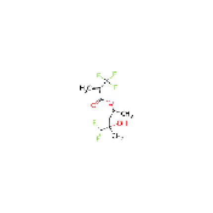 C=C(C(=O)OC(C)CC(C)(O)C(F)F)C(F)(F)F